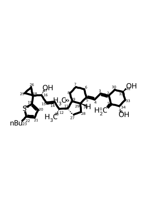 C=C1/C(=C\C=C2/CCC[C@]3(C)[C@@H]([C@H](C)/C=C/[C@@H](O)C4(c5ccc(CCCC)s5)CC4)CC[C@@H]23)C[C@@H](O)C[C@@H]1O